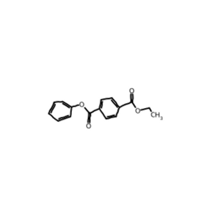 CCOC(=O)c1ccc(C(=O)Oc2ccccc2)cc1